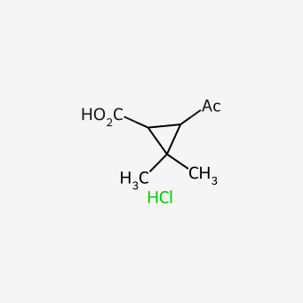 CC(=O)C1C(C(=O)O)C1(C)C.Cl